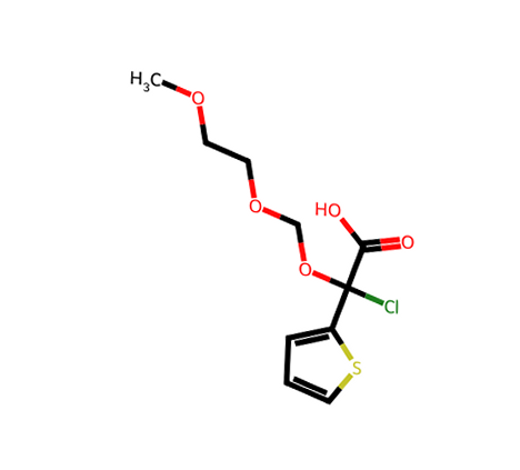 COCCOCOC(Cl)(C(=O)O)c1cccs1